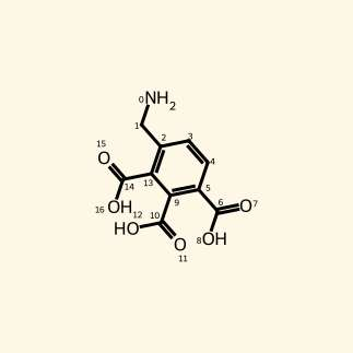 NCc1ccc(C(=O)O)c(C(=O)O)c1C(=O)O